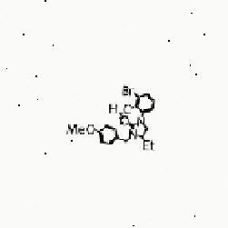 CCC1CN(c2cccc(Br)c2C)C(=O)N1Cc1ccc(OC)cc1